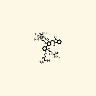 N=C(N)NCCOc1cccc(-c2ccc(CN3C(=O)c4ccccc4C3=O)c(OCCNC(=N)N)c2OCCNC(=N)N)c1OCCNC(=N)N